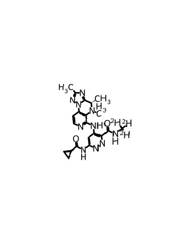 [2H]C([2H])([2H])NC(=O)c1nnc(NC(=O)C2CC2)cc1Nc1nccc2c1N(C)[C@@H](C)c1nc(C)nn1-2